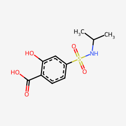 CC(C)NS(=O)(=O)c1ccc(C(=O)O)c(O)c1